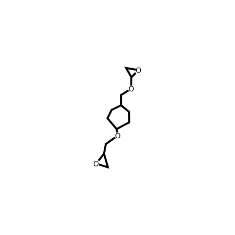 C1CC(OCC2CO2)CCC1COC1CO1